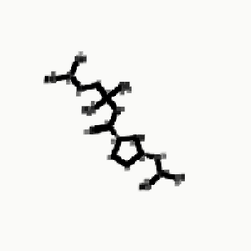 CC(C)(COB(O)O)OC(=O)[C@H]1CC[C@@H](OB(O)O)N1